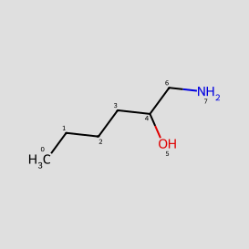 CCCCC(O)CN